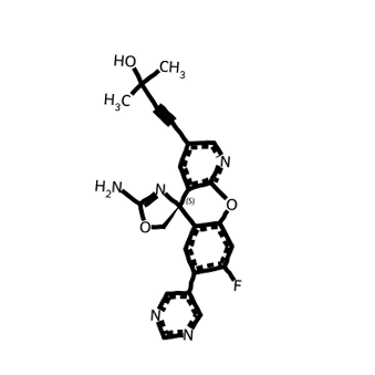 CC(C)(O)C#Cc1cnc2c(c1)[C@]1(COC(N)=N1)c1cc(-c3cncnc3)c(F)cc1O2